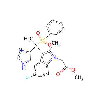 COC(=O)Cn1c(C)c(C(C)(c2c[nH]cn2)S(=O)(=O)c2ccccc2)c2cc(F)ccc21